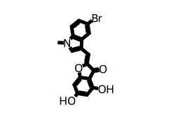 Cn1cc(C=C2Oc3cc(O)cc(O)c3C2=O)c2cc(Br)ccc21